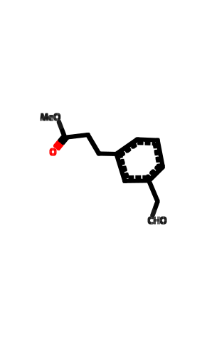 COC(=O)CCc1cccc(CC=O)c1